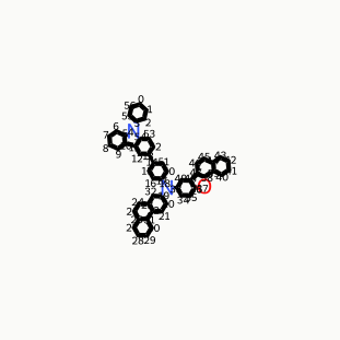 c1ccc(-n2c3ccccc3c3cc(-c4ccc(N(c5ccc6c(ccc7ccccc76)c5)c5ccc6oc7c8ccccc8ccc7c6c5)cc4)ccc32)cc1